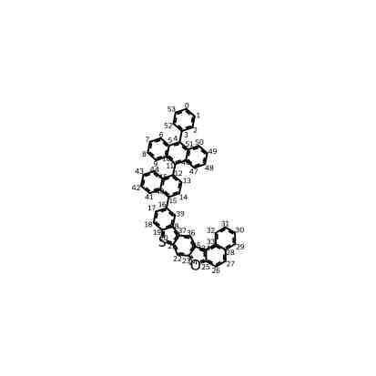 c1ccc(-c2c3ccccc3c(-c3ccc(-c4ccc5sc6cc7oc8ccc9ccccc9c8c7cc6c5c4)c4ccccc34)c3ccccc23)cc1